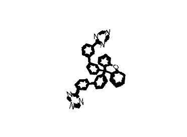 c1cc(-c2cccc(C3(c4cccc(-c5cccc(-c6ncncn6)c5)c4)c4ccccc4Oc4ccccc43)c2)cc(-c2ncncn2)c1